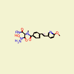 CNC(=O)C(C(=O)N(N)O)N(C)C(=O)c1ccc(/C=C/c2ccc(OC)nc2)cc1